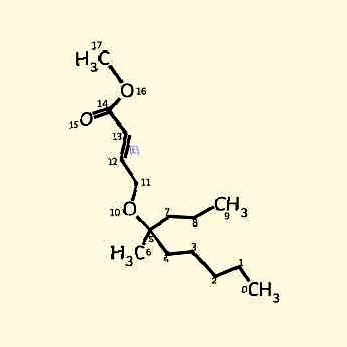 CCCCCC(C)(CCC)OC/C=C/C(=O)OC